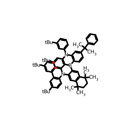 CC(C)(C)c1cccc(-c2cc(C(C)(C)C)ccc2N2c3cc4c(cc3B3c5ccc(C(C)(C)c6ccccc6)cc5N(c5cccc(C(C)(C)C)c5)c5cc(C(C)(C)C)cc2c53)C(C)(C)CCC4(C)C)c1